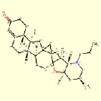 CCCN1C[C@@H](C)C[C@H]2O[C@]3(CC[C@H]4[C@@H]5CCC6=CC(=O)CC[C@]6(C)[C@H]5CC45CC53C)[C@H](C)[C@@H]21